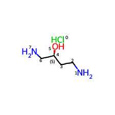 Cl.NCC[C@H](O)CN